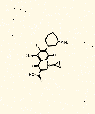 Nc1c(F)c(N2CCCCC(N)C2)c(Cl)c2c1c(=O)c(C(=O)O)cn2C1CC1